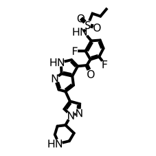 CCCS(=O)(=O)Nc1ccc(F)c(C(=O)c2c[nH]c3ncc(-c4cnn(C5CCNCC5)c4)cc23)c1F